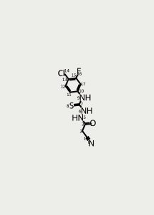 N#CCC(=O)NNC(=S)Nc1ccc(Cl)c(F)c1